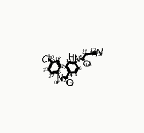 CN(C(=O)c1ccc(NC(=O)CC#N)cc1)c1ccc(Cl)cc1